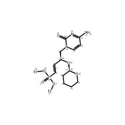 CCOP(=O)(/C=C/[C@@H](Cn1ccc(N)nc1=O)O[C@@H]1CCCCO1)OCC